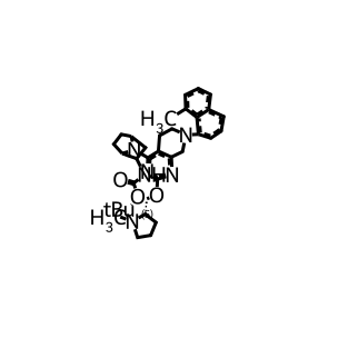 Cc1cccc2cccc(N3CCc4c(nc(OC[C@@H]5CCCN5C)nc4N4C5CCC4C(NC(=O)OC(C)(C)C)C5)C3)c12